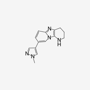 Cn1cc(-c2ccc3nc4c(n3c2)NCCC4)cn1